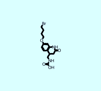 O=C(O)NCC1CC(=O)Nc2cc(OCCCCBr)ccc21